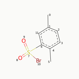 Cc1ccc(C)c(S(=O)(=O)Br)c1